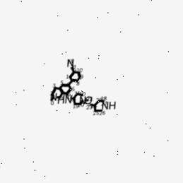 CN1C=Cc2cc(-c3cccc(C#N)c3)cc(NC3CCN(OCC4CCNCC4)CC3)c2C1